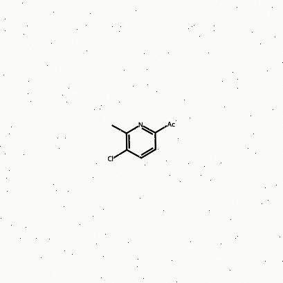 CC(=O)c1ccc(Cl)c(C)n1